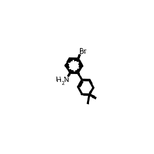 CC1(C)CC=C(c2cc(Br)ccc2N)CC1